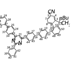 CCCCC1(C)c2cc(C#N)ccc2-c2c(-c3ccc(-c4ccc(-c5cc(-c6ccc(-c7cccnc7)cc6)nc(-c6ccccc6)n5)cc4)cc3)cccc21